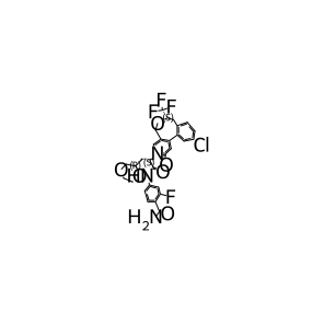 NC(=O)c1ccc(NC(=O)[C@H](C[C@@H]2COCCO2)n2cc3c(cc2=O)-c2cc(Cl)ccc2C[C@@H](C(F)(F)F)OC3)cc1F